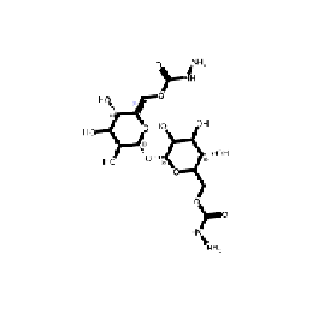 NNC(=O)O/C=C1\O[C@H](O[C@H]2OC(COC(=O)NN)[C@@H](O)C(O)C2O)C(O)C(O)[C@@H]1O